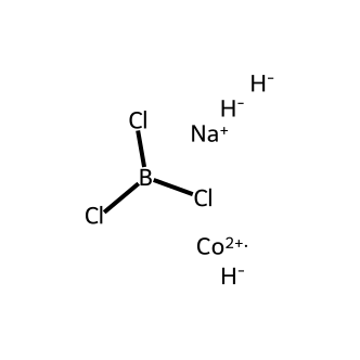 ClB(Cl)Cl.[Co+2].[H-].[H-].[H-].[Na+]